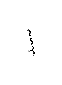 OC(CBr)COCCOCCCl